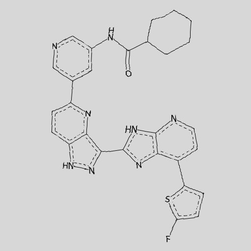 O=C(Nc1cncc(-c2ccc3[nH]nc(-c4nc5c(-c6ccc(F)s6)ccnc5[nH]4)c3n2)c1)C1CCCCC1